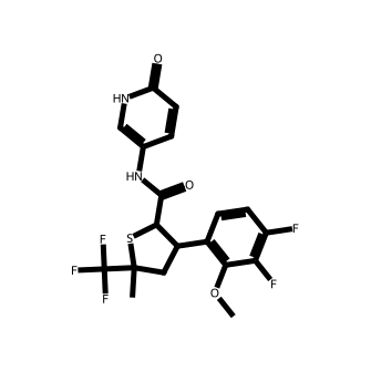 COc1c(C2CC(C)(C(F)(F)F)SC2C(=O)Nc2ccc(=O)[nH]c2)ccc(F)c1F